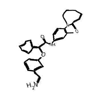 Cc1cc(NC(=O)C(Oc2cccc(CN)c2)c2ccccc2)ccc1N1CCCCCC1=O